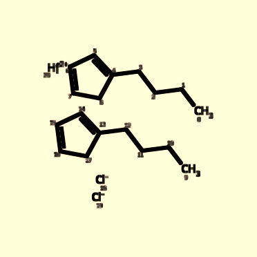 CCCCC1=CC=CC1.CCCCC1=CC=CC1.[Cl-].[Cl-].[Hf+2]